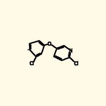 Clc1[c]ccc(Oc2ccc(Cl)nc2)c1